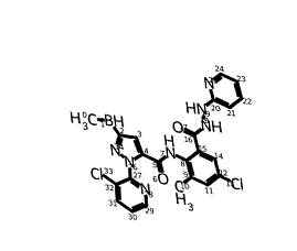 CBc1cc(C(=O)Nc2c(C)cc(Cl)cc2C(=O)NNc2ccccn2)n(-c2ncccc2Cl)n1